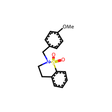 COc1ccc(CN2CCc3ccccc3S2(=O)=O)cc1